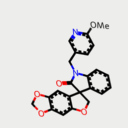 COc1ccc(CN2C(=O)C3(COc4cc5c(cc43)OCO5)c3ccccc32)cn1